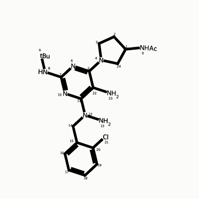 CC(=O)NC1CCN(c2nc(NC(C)(C)C)nc(N(N)Cc3ccccc3Cl)c2N)C1